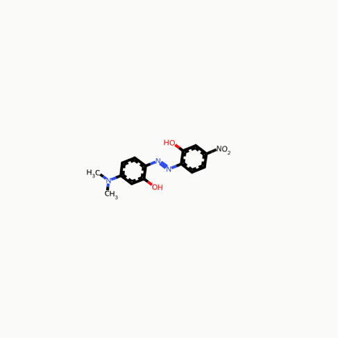 CN(C)c1ccc(N=Nc2ccc([N+](=O)[O-])cc2O)c(O)c1